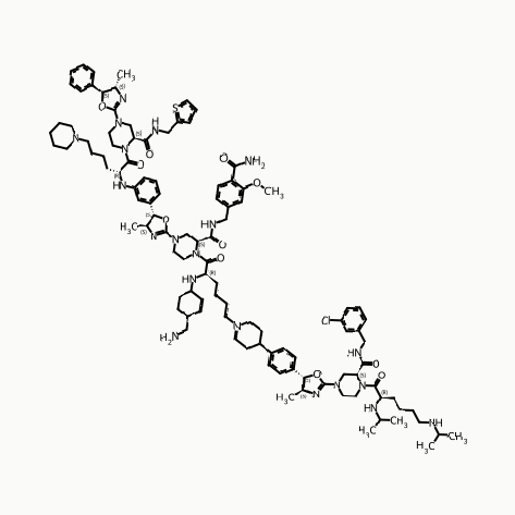 COc1cc(CNC(=O)[C@@H]2CN(C3=N[C@@H](C)[C@H](c4cccc(N[C@H](CCCCN5CCCCC5)C(=O)N5CCN(C6=N[C@@H](C)[C@H](c7ccccc7)O6)C[C@H]5C(=O)NCc5cccs5)c4)O3)CCN2C(=O)[C@@H](CCCCN2CCC(c3ccc([C@@H]4OC(N5CCN(C(=O)[C@@H](CCCCNC(C)C)NC(C)C)[C@H](C(=O)NCc6cccc(Cl)c6)C5)=N[C@H]4C)cc3)CC2)NC2CCC(CN)CC2)ccc1C(N)=O